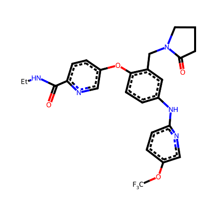 CCNC(=O)c1ccc(Oc2ccc(Nc3ccc(OC(F)(F)F)cn3)cc2CN2CCCC2=O)cn1